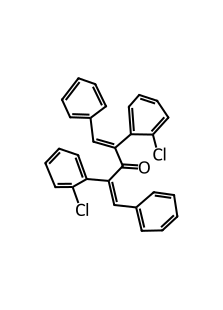 O=C(C(=Cc1ccccc1)c1ccccc1Cl)C(=Cc1ccccc1)c1ccccc1Cl